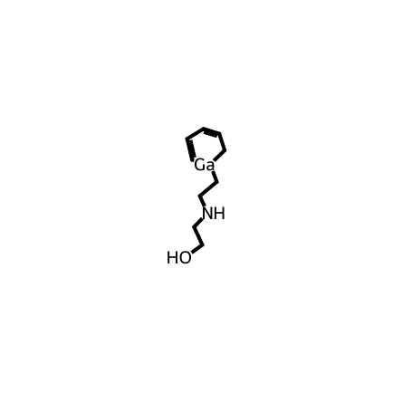 OCCNC[CH2][Ga]1[CH]=CC=C[CH2]1